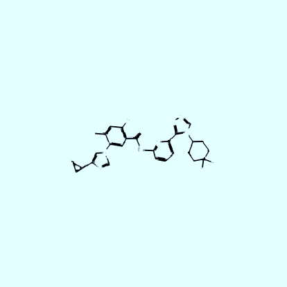 Cc1cc(N)c(C(=O)Nc2cccc(-c3nncn3C3CCC(F)(F)CC3)n2)cc1-n1cnc(C2CC2)c1